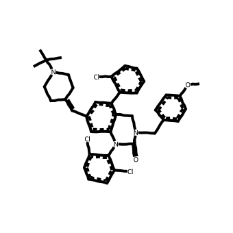 COc1ccc(CN2Cc3c(-c4ccccc4Cl)cc(C=C4CCN(C(C)(C)C)CC4)cc3N(c3c(Cl)cccc3Cl)C2=O)cc1